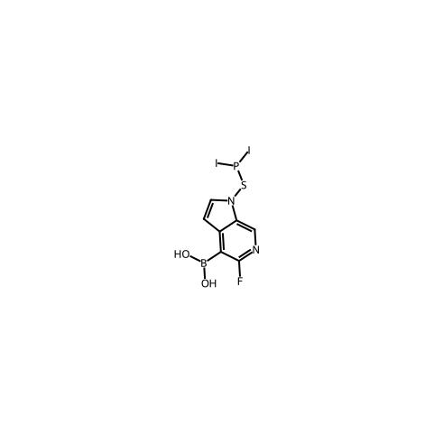 OB(O)c1c(F)ncc2c1ccn2SP(I)I